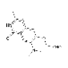 Cc1nc2cc(OCC=O)c(N(C)C)cc2c(=O)[nH]1